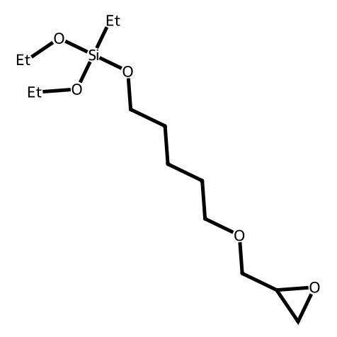 CCO[Si](CC)(OCC)OCCCCCOCC1CO1